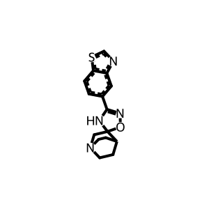 c1nc2cc(C3=NOC4(CN5CCC4CC5)N3)ccc2s1